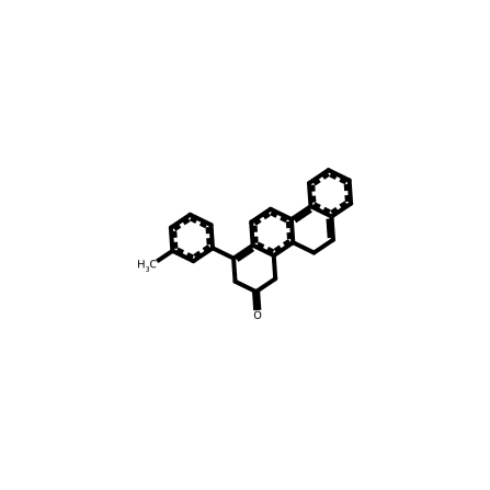 Cc1cccc(C2=c3ccc4c(c3CC(=O)C2)CC=c2ccccc2=4)c1